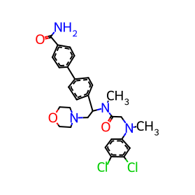 CN(CC(=O)N(C)C(CN1CCOCC1)c1ccc(-c2ccc(C(N)=O)cc2)cc1)c1ccc(Cl)c(Cl)c1